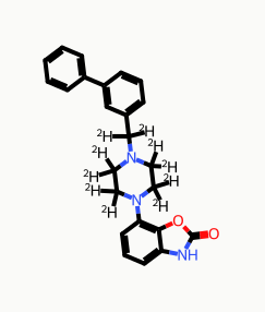 [2H]C([2H])(c1cccc(-c2ccccc2)c1)N1C([2H])([2H])C([2H])([2H])N(c2cccc3[nH]c(=O)oc23)C([2H])([2H])C1([2H])[2H]